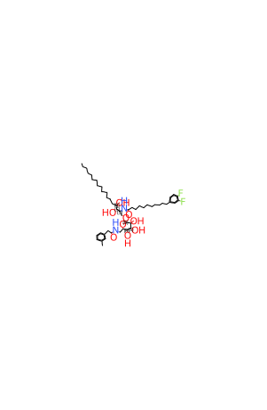 CCCCCCCCCCCCCC[C@@H](O)[C@@H](O)[C@H](CO[C@H]1OC(CNC(=O)Cc2cccc(C)c2)[C@H](O)[C@H](O)C1O)NC(=O)CCCCCCCCCCc1ccc(F)c(F)c1